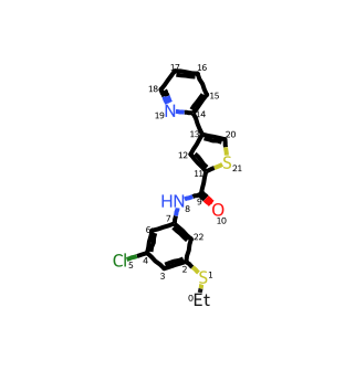 CCSc1cc(Cl)cc(NC(=O)c2cc(-c3ccccn3)cs2)c1